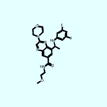 COCCNC(=O)c1cc(C(C)Nc2cc(F)cc(F)c2)c2nc(N3CCOCC3)cnc2c1